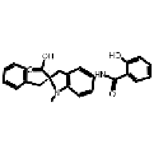 CN1c2ccc(NC(=O)c3ccccc3O)cc2C[C@@]1(Cc1ccccc1)C(=O)O